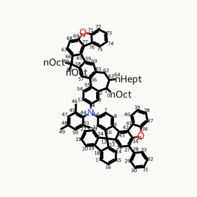 CCCCCCCCC1c2cc(N(c3ccc4c(c3)C3(c5ccccc5-c5ccccc53)c3cc(-c5ccccc5)c5oc6ccccc6c5c3-4)c3c(C)cc(C)cc3C)ccc2-c2cc3c(cc2CC1CCCCCCC)-c1c(ccc2oc4ccccc4c12)C3(CCCCCCCC)CCCCCCCC